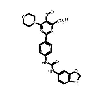 CCOc1c(C(=O)O)nc(-c2ccc(NC(=O)Nc3ccc4c(c3)OCO4)cc2)nc1N1CCOCC1